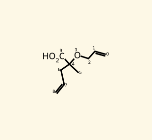 C=CCOC(C)(CC=C)C(=O)O